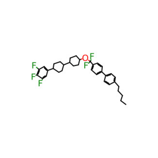 CCCCCc1ccc(-c2ccc(C(F)(F)OC3CCC(C4CCC(c5cc(F)c(F)c(F)c5)CC4)CC3)cc2)cc1